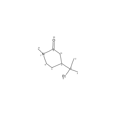 CCC(C)(C)C1CCN(C)C(=O)C1